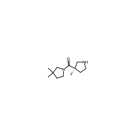 CC1(C)CCN(C(=O)[C@]2(F)CCNC2)C1